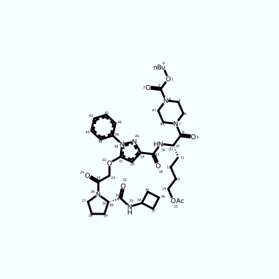 CCCCOC(=O)N1CCN(C(=O)[C@H](CCCCOC(C)=O)NC(=O)c2cc(OCC(=O)N3CCC[C@H]3C(=O)NC3CCC3)n(-c3ccccc3)n2)CC1